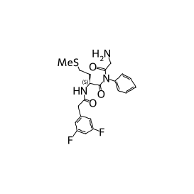 CSCC[C@H](NC(=O)Cc1cc(F)cc(F)c1)C(=O)N(C(=O)CN)c1ccccc1